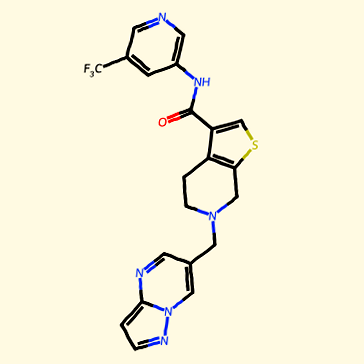 O=C(Nc1cncc(C(F)(F)F)c1)c1csc2c1CCN(Cc1cnc3ccnn3c1)C2